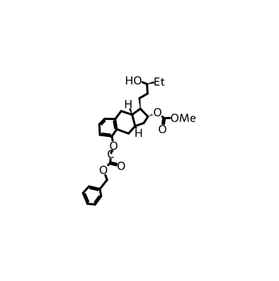 CC[C@H](O)CC[C@@H]1[C@H]2Cc3cccc(OCC(=O)OCc4ccccc4)c3C[C@H]2C[C@H]1OC(=O)OC